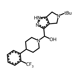 CC(C)(C)N1Cc2[nH]nc(C(O)N3CCC(c4ccccc4C(F)(F)F)CC3)c2C1